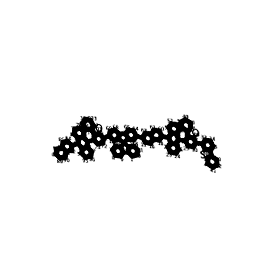 c1ccc(C2(c3ccccc3)c3cc(-c4ccc5cc(-c6c7ccccc7c(-c7ccc(-c8cccc9c8sc8ccccc89)c8oc9ccccc9c78)c7ccccc67)ccc5c4)ccc3-c3ccc(-c4ccc(-c5c6ccccc6c(-c6ccc7ccccc7c6)c6ccccc56)c5c4oc4ccccc45)cc32)cc1